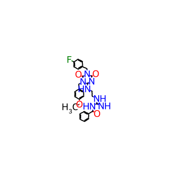 COc1ccc(Cn2c(NCCNC(=N)NC(=O)c3ccccc3)nc(=O)n(Cc3ccc(F)cc3)c2=O)cc1